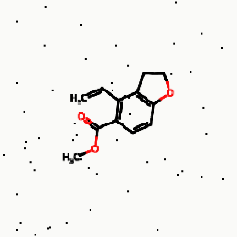 C=Cc1c(C(=O)OC)ccc2c1CCO2